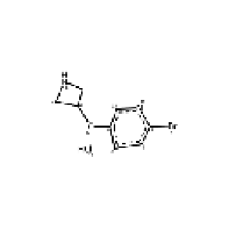 Brc1ccc(OC2CNC2)cn1.Cl